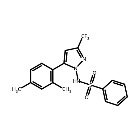 Cc1ccc(-c2cc(C(F)(F)F)nn2NS(=O)(=O)c2ccccc2)c(C)c1